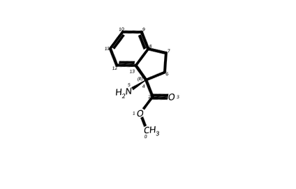 COC(=O)[C@@]1(N)CCc2ccccc21